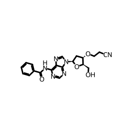 N#CCCO[C@H]1C[C@H](n2cnc3c(NC(=O)c4ccccc4)ncnc32)O[C@@H]1CO